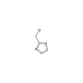 [O]Cc1nccs1